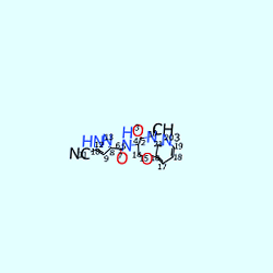 CN1C(=O)C(NC(=O)c2cc(C#N)[nH]n2)COc2cccnc21